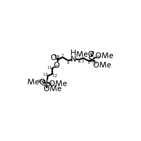 CO[Si](CCCNCCC(=O)OCCC[Si](OC)(OC)OC)(OC)OC